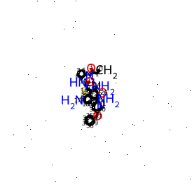 C=CC(=O)N[C@@H]1CCC[C@H]1NC(=O)c1sc2c(N)ccc3c2c1C(N)C(=O)C3(N)c1ccc(Oc2ccccc2)cn1